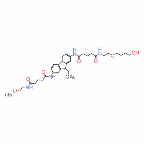 CCCCOCCNC(=O)CCCC(=O)Nc1ccc2c(c1)C(COC(C)=O)c1cc(NC(=O)CCCC(=O)NCCOCCCCO)ccc1-2